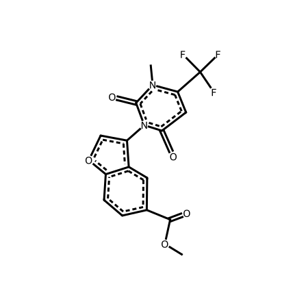 COC(=O)c1ccc2occ(-n3c(=O)cc(C(F)(F)F)n(C)c3=O)c2c1